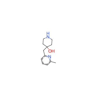 Cc1cccc(CC2(O)CCNCC2)n1